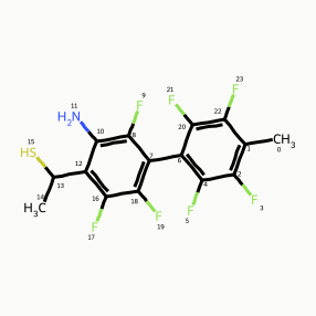 Cc1c(F)c(F)c(-c2c(F)c(N)c(C(C)S)c(F)c2F)c(F)c1F